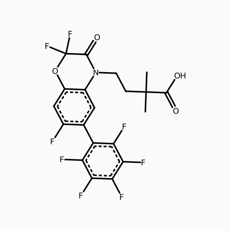 CC(C)(CCN1C(=O)C(F)(F)Oc2cc(F)c(-c3c(F)c(F)c(F)c(F)c3F)cc21)C(=O)O